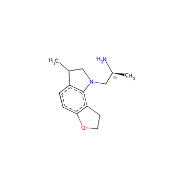 CC1CN(C[C@H](C)N)c2c1ccc1c2CCO1